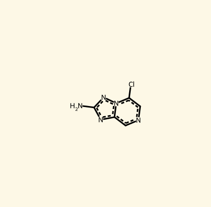 Nc1nc2cncc(Cl)n2n1